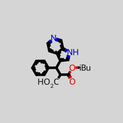 CCC(C)OC(=O)C(C(=O)O)C(c1ccccc1)c1c[nH]c2cnccc12